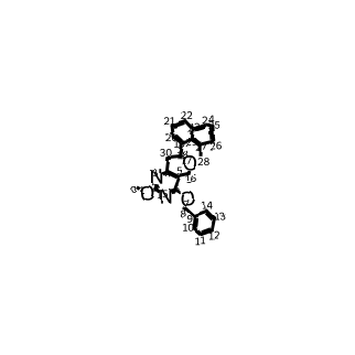 COc1nc2c(c(OCc3ccccc3)n1)COC(c1cccc3cccc(C)c13)C2